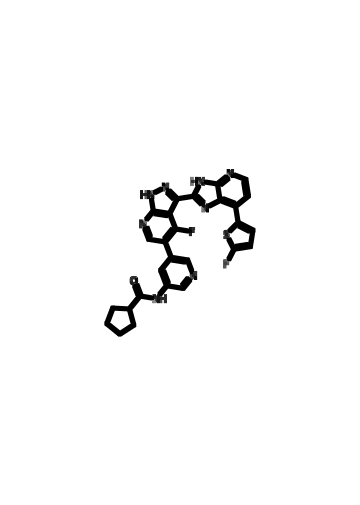 O=C(Nc1cncc(-c2cnc3[nH]nc(-c4nc5c(-c6ccc(F)s6)ccnc5[nH]4)c3c2F)c1)C1CCCC1